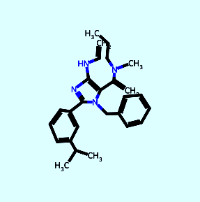 C=CNc1nc(-c2cccc(C(C)C)c2)n(Cc2ccccc2)c1C(=C)N(C)CCC